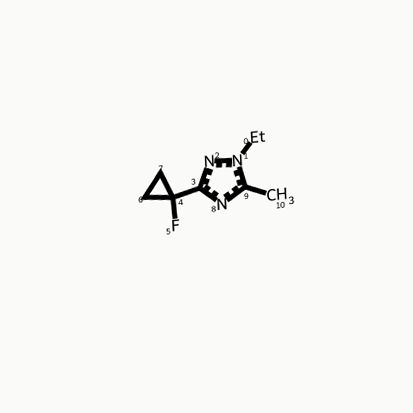 CCn1nc(C2(F)CC2)nc1C